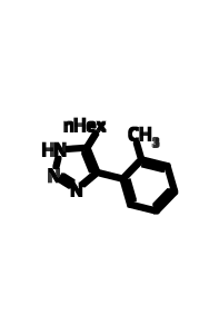 CCCCCCc1[nH]nnc1-c1ccccc1C